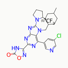 CC1CCC(Cn2c(N3CCC[C@H]3C(F)(F)F)nc3nc(-c4noc(=O)[nH]4)nc(-c4cncc(Cl)c4)c32)CC1